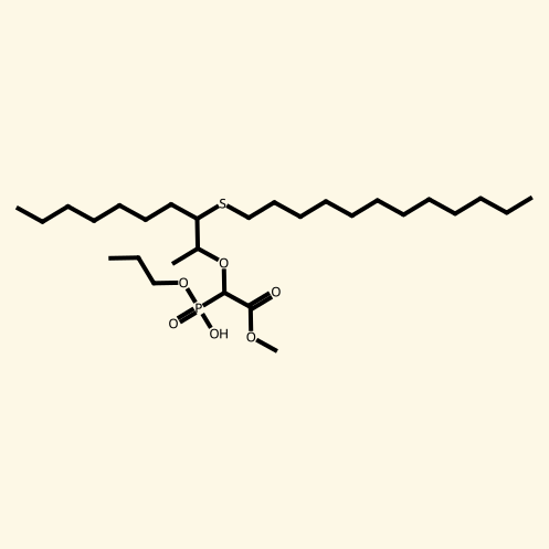 CCCCCCCCCCCCSC(CCCCCCC)C(C)OC(C(=O)OC)P(=O)(O)OCCC